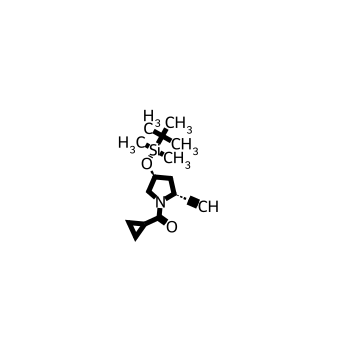 C#C[C@H]1C[C@@H](O[Si](C)(C)C(C)(C)C)CN1C(=O)C1CC1